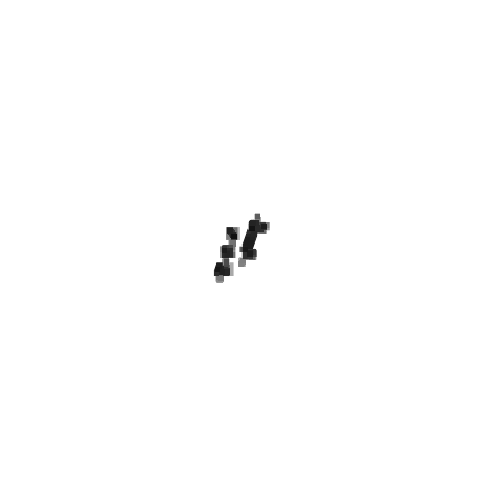 [As].[Ge]=[Te].[N].[Si]